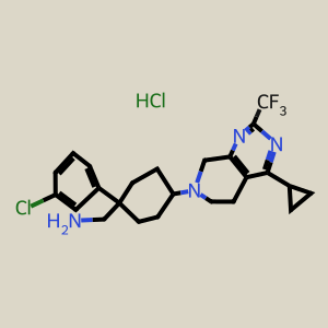 Cl.NCC1(c2cccc(Cl)c2)CCC(N2CCc3c(nc(C(F)(F)F)nc3C3CC3)C2)CC1